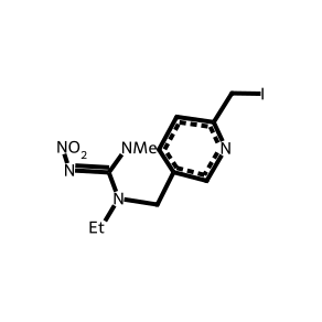 CCN(Cc1ccc(CI)nc1)/C(=N/[N+](=O)[O-])NC